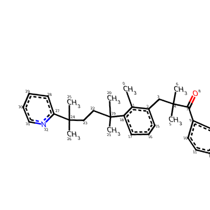 Cc1c(CC(C)(C)C(=O)c2ccccc2)cccc1C(C)(C)CCC(C)(C)c1ccccn1